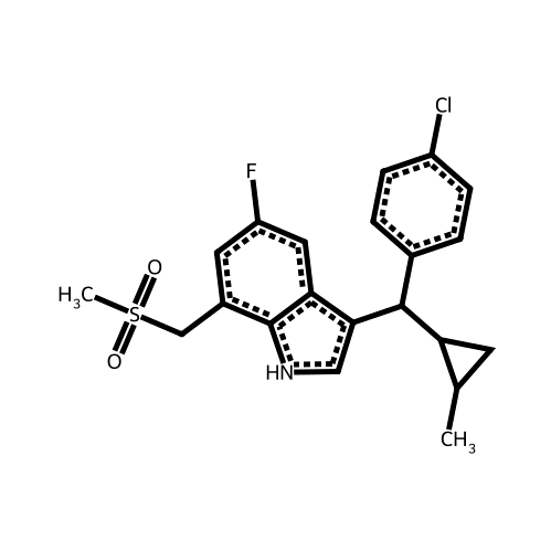 CC1CC1C(c1ccc(Cl)cc1)c1c[nH]c2c(CS(C)(=O)=O)cc(F)cc12